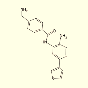 NCc1ccc(C(=O)Nc2cc(-c3ccsc3)ccc2N)cc1